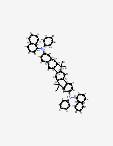 CC1(C)c2cc(N(c3ccccc3)c3cccc4ccccc34)ccc2-c2cc3c(cc21)-c1cc2ccc(N(c4ccccc4)c4cccc5ccccc45)cc2cc1C3(C)C